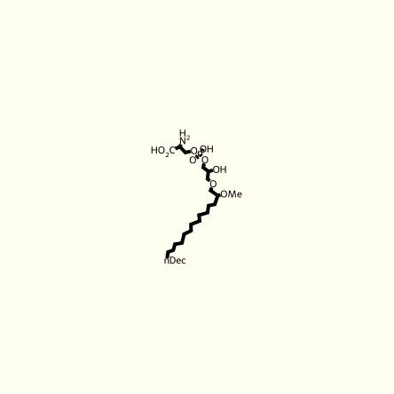 CCCCCCCCCCCCCCCCCCCCCCC(COCC(O)COP(=O)(O)OCC(N)C(=O)O)OC